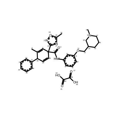 CC1=CC(C(=O)Nc2cccc(OCC3CCCN(C)C3)c2)(c2noc(C)n2)C=CC1c1ccccc1.O=C(O)C(=O)O